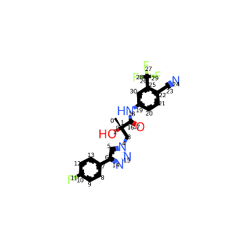 C[C@](O)(Cn1cc(-c2ccc(F)cc2)nn1)C(=O)Nc1ccc(C#N)c(C(F)(F)F)c1